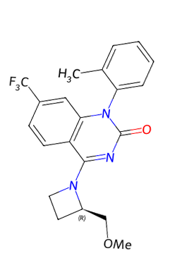 COC[C@H]1CCN1c1nc(=O)n(-c2ccccc2C)c2cc(C(F)(F)F)ccc12